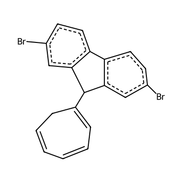 Brc1ccc2c(c1)C(C1=CC=CC=CC1)c1cc(Br)ccc1-2